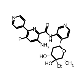 CC[C@]1(O)[C@H](O)C[C@H](c2ccncc2NC(=O)c2nc(-c3ccncc3)c(F)cc2N)O[C@@H]1C